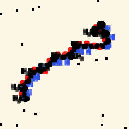 Cn1cc(NC(=O)c2nc(NC(=O)CCNC(=O)c3cc(NC(=O)c4nccn4C)cn3C)cn2C)cc1C(=O)NCCCC(=O)Nc1cn(C)c(C(=O)NCCC(=O)Nc2cc(C(=O)Nc3cn(C)c(C(=O)NCCC(=O)NCCOCCOCCn4cc(CC(=O)Nc5ccc(C(=O)Nc6ccccc6NC(=O)OC(C)(C)C)cc5)nn4)n3)n(C)c2)n1